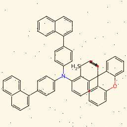 c1ccc2c(c1)Oc1ccccc1C21c2ccccc2[SiH2]c2c(N(c3ccc(-c4cccc5ccccc45)cc3)c3ccc(-c4cccc5ccccc45)cc3)cccc21